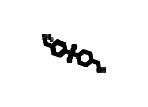 NCc1[c]cc(S(=O)(=O)N2CCC(CO)CC2)cc1